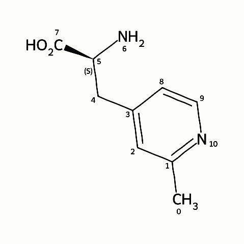 Cc1cc(C[C@H](N)C(=O)O)ccn1